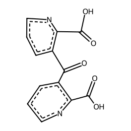 O=C(c1cccnc1C(=O)O)c1cccnc1C(=O)O